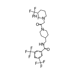 O=C(NCC1CCN(C(=O)CN2CCCC(C(F)(F)P)C2)CC1)c1cc(C(F)(F)F)cc(C(F)(F)F)c1